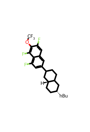 CCCC[C@@H]1CC[C@@H]2CC(c3cc(F)c4c(F)c(OC(F)(F)F)c(F)cc4c3)CCC2C1